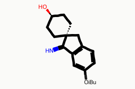 CC(C)COc1ccc2c(c1)C(=N)[C@]1(CC[C@H](O)CC1)C2